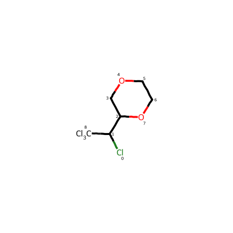 ClC(C1COCCO1)C(Cl)(Cl)Cl